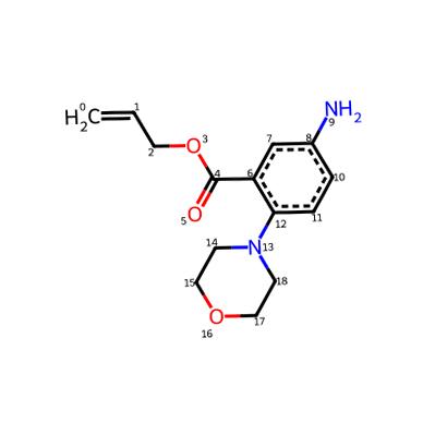 C=CCOC(=O)c1cc(N)ccc1N1CCOCC1